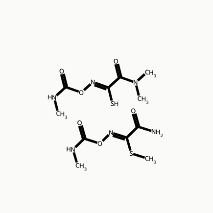 CNC(=O)ON=C(S)C(=O)N(C)C.CNC(=O)ON=C(SC)C(N)=O